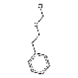 ClCOCCc1ccccc1